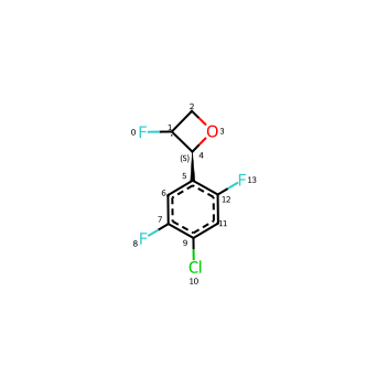 F[C]1CO[C@H]1c1cc(F)c(Cl)cc1F